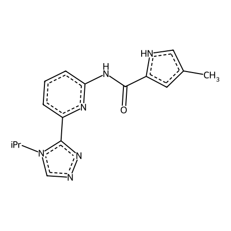 Cc1c[nH]c(C(=O)Nc2cccc(-c3nncn3C(C)C)n2)c1